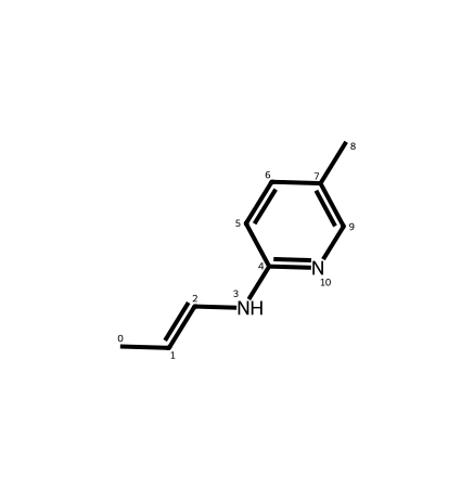 C/C=C/Nc1ccc(C)cn1